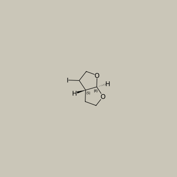 IC1CO[C@H]2OCC[C@H]12